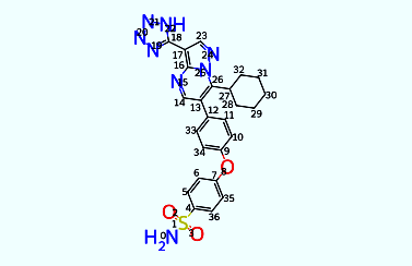 NS(=O)(=O)c1ccc(Oc2ccc(-c3cnc4c(-c5nnn[nH]5)cnn4c3C3CCCCC3)cc2)cc1